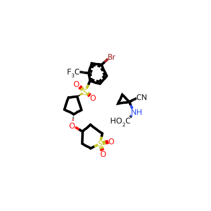 N#CC1(NC(=O)O)CC1.O=S1(=O)CCC(O[C@@H]2CC[C@@H](S(=O)(=O)c3ccc(Br)cc3C(F)(F)F)C2)CC1